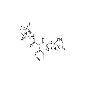 CN1[C@@H]2CC[C@H]1C[C@H](OC(=O)C(NC(=O)OC(C)(C)C)c1ccccc1)C2